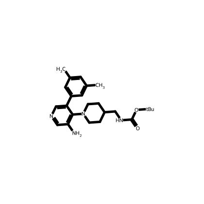 Cc1cc(C)cc(-c2cncc(N)c2N2CCC(CNC(=O)OC(C)(C)C)CC2)c1